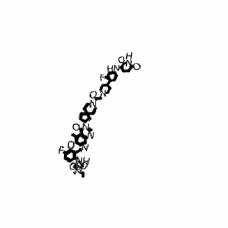 CCN(C)S(=O)(=O)Nc1ccc(F)c(Oc2ccc3ncn(C4CCC5(CCN(C(=O)CN6CCC(c7ccc(NC8CCC(=O)NC8=O)cc7F)CC6)CC5)C4)c(=O)c3c2C)c1C#N